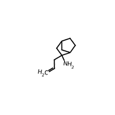 C=CCC1(N)CC2CCC1C2